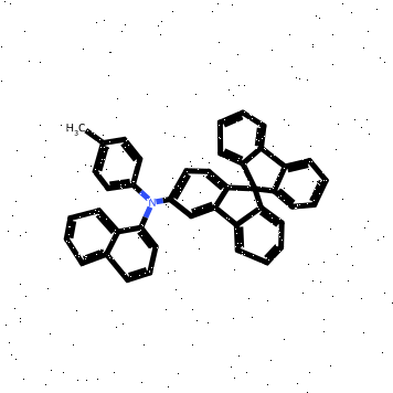 Cc1ccc(N(c2ccc3c(c2)-c2ccccc2C32c3ccccc3-c3ccccc32)c2cccc3ccccc23)cc1